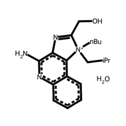 CCCC[N+]1(CC(C)C)C(CO)=Nc2c(N)nc3ccccc3c21.O